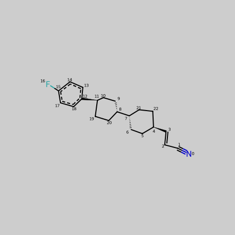 N#CC=C[C@H]1CC[C@H]([C@H]2CC[C@H](c3ccc(F)cc3)CC2)CC1